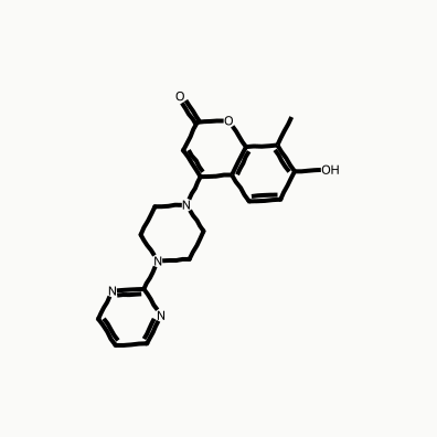 Cc1c(O)ccc2c(N3CCN(c4ncccn4)CC3)cc(=O)oc12